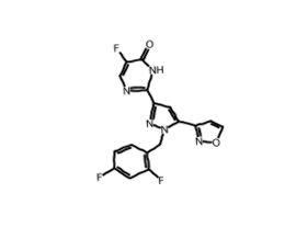 O=c1[nH]c(-c2cc(-c3ccon3)n(Cc3ccc(F)cc3F)n2)ncc1F